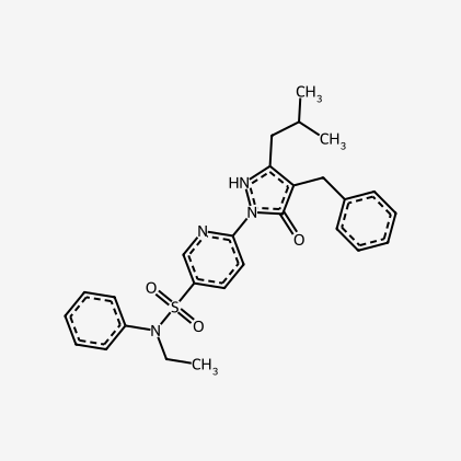 CCN(c1ccccc1)S(=O)(=O)c1ccc(-n2[nH]c(CC(C)C)c(Cc3ccccc3)c2=O)nc1